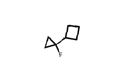 FC1([C]2CCC2)CC1